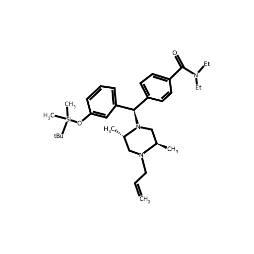 C=CCN1C[C@H](C)N([C@H](c2ccc(C(=O)N(CC)CC)cc2)c2cccc(O[Si](C)(C)C(C)(C)C)c2)C[C@H]1C